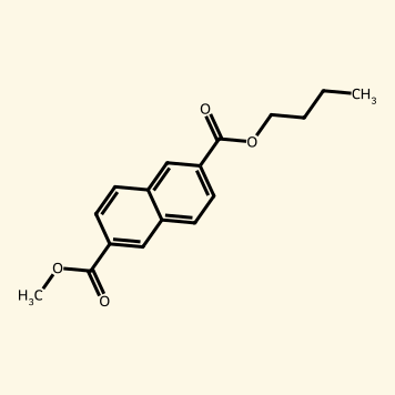 CCCCOC(=O)c1ccc2cc(C(=O)OC)ccc2c1